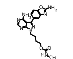 CNC(=O)OCCCCn1nc(-c2ccc3oc(N)nc3c2)c2c(N)ncnc21